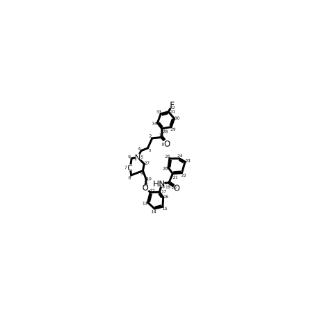 O=C(CCCN1CCCC(COc2ccccc2NC(=O)c2ccccc2)C1)c1ccc(F)cc1